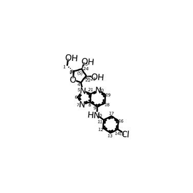 OC[C@H]1OC(n2cnc3c(Nc4ccc(Cl)cc4)ccnc32)[C@H](O)[C@@H]1O